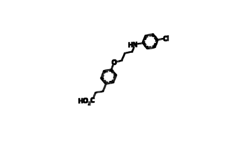 O=C(O)CCc1ccc(OCCCNc2ccc(Cl)cc2)cc1